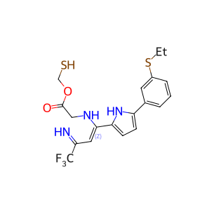 CCSc1cccc(-c2ccc(/C(=C/C(=N)C(F)(F)F)NCC(=O)OCS)[nH]2)c1